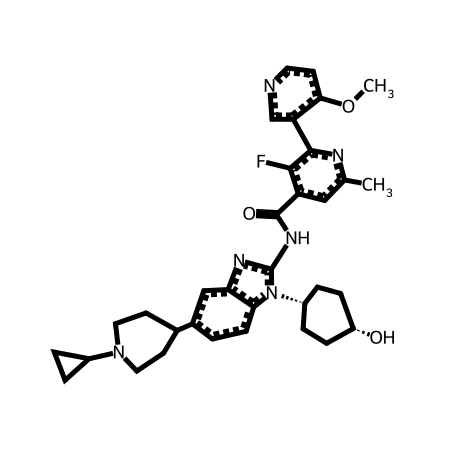 COc1ccncc1-c1nc(C)cc(C(=O)Nc2nc3cc(C4CCN(C5CC5)CC4)ccc3n2[C@H]2CC[C@@H](O)CC2)c1F